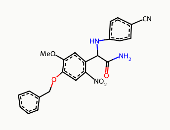 COc1cc(C(Nc2ccc(C#N)cc2)C(N)=O)c([N+](=O)[O-])cc1OCc1ccccc1